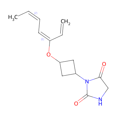 C=C/C(=C\C=C/C)OC1CC(N2C(=O)CNC2=O)C1